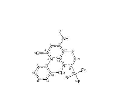 CNc1cc(=O)n(-c2ccccc2Cl)c2nc(C(F)(F)F)ccc12